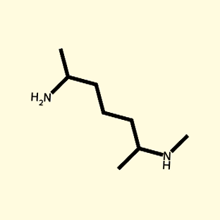 CNC(C)CCCC(C)N